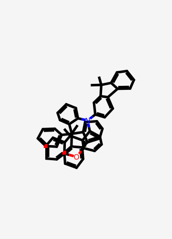 CC1(C)c2ccccc2-c2ccc(N(c3ccccc3C3(c4ccccc4)c4ccccc4-c4ccccc43)c3cccc4c3C(C)(C)c3ccccc3O4)cc21